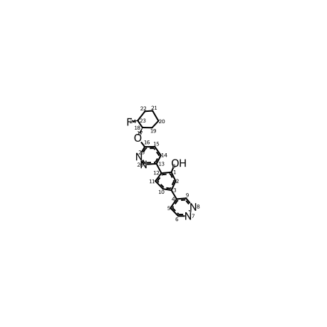 Oc1cc(-c2ccnnc2)ccc1-c1ccc(O[C@@H]2CCCC[C@@H]2F)nn1